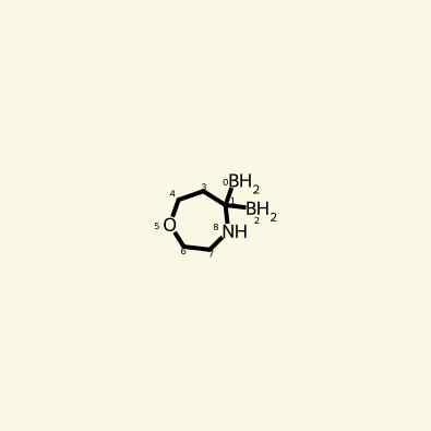 BC1(B)CCOCCN1